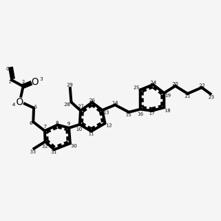 C=CC(=O)OCCc1cc(-c2ccc(CCc3ccc(CCCC)cc3)cc2CC)ccc1C